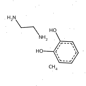 C.NCCN.Oc1ccccc1O